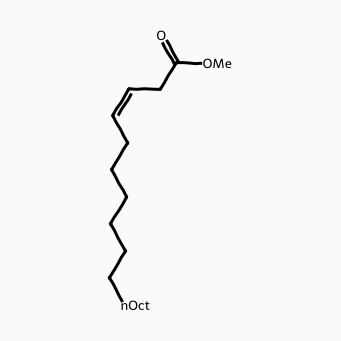 CCCCCCCCCCCCCC/C=C\CC(=O)OC